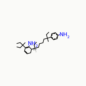 CCC(C)(CC)C1=C(N)C([C@@](C)(CC)CCCCC(C)(CC)c2ccc(N)cc2)CC=C1